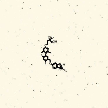 CC(=O)[C@H]1[C@@H]2Cc3cc(OCc4cc(-c5c(C)cc(OCCC(C)(O)CO)cc5C)c(F)cc4F)ncc3[C@@H]21